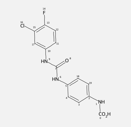 O=C(O)Nc1ccc(NC(=O)Nc2ccc(F)c(Cl)c2)cc1